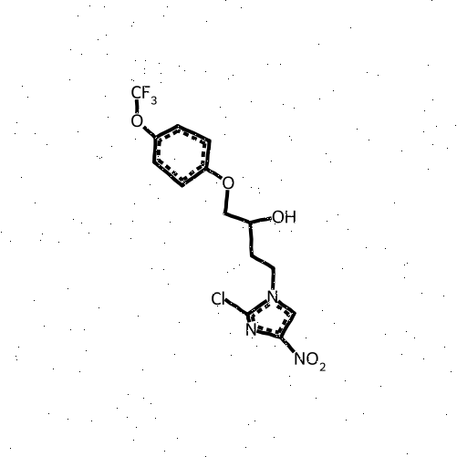 O=[N+]([O-])c1cn(CCC(O)COc2ccc(OC(F)(F)F)cc2)c(Cl)n1